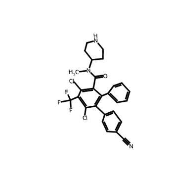 CN(C(=O)c1c(Cl)c(C(F)(F)F)c(Cl)c(-c2ccc(C#N)cc2)c1-c1ccccc1)C1CCNCC1